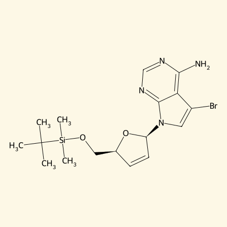 CC(C)(C)[Si](C)(C)OC[C@@H]1C=C[C@H](n2cc(Br)c3c(N)ncnc32)O1